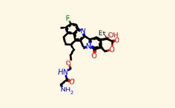 CC[C@@]1(O)C(=O)OCc2c1cc1n(c2=O)Cc2c-1nc1cc(F)c(C)c3c1c2C(CCCOCNC(=O)CN)CC3